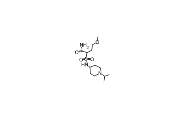 COCCC(C(N)=O)S(=O)(=O)NC1CCN(C(C)C)CC1